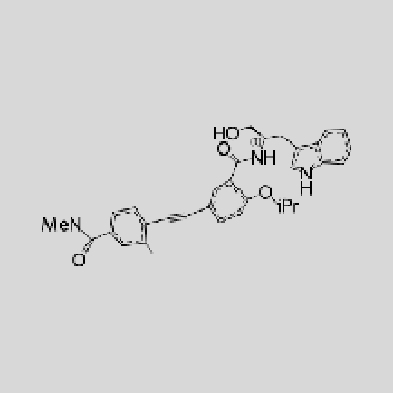 CNC(=O)c1ccc(C#Cc2ccc(OC(C)C)c(C(=O)N[C@@H](CO)Cc3c[nH]c4ccccc34)c2)c(C)c1